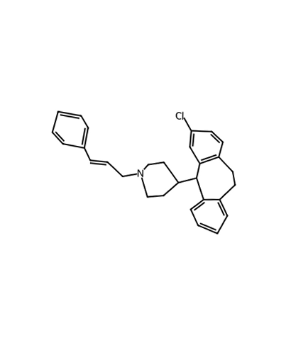 Clc1ccc2c(c1)C(C1CCN(C/C=C/c3ccccc3)CC1)c1ccccc1CC2